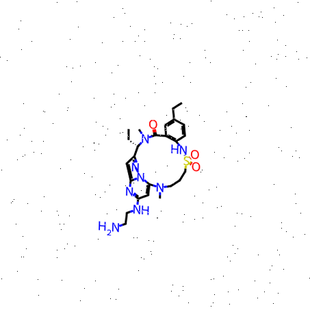 CCc1ccc2c(c1)C(=O)N(C)[C@@H](CC)c1cc3nc(NCCN)cc(n3n1)N(C)CCCS(=O)(=O)N2